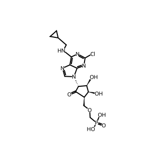 O=C1[C@H](COCP(=O)(O)O)[C@H](O)[C@H](O)[C@H]1n1cnc2c(NCC3CC3)nc(Cl)nc21